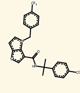 CC(C)(NC(=O)c1csc2ccn(Cc3ccc(C(F)(F)F)cc3)c12)c1ccc(C(=O)O)cc1